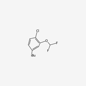 CCC(C)c1ccc(Cl)c(OC(F)F)c1